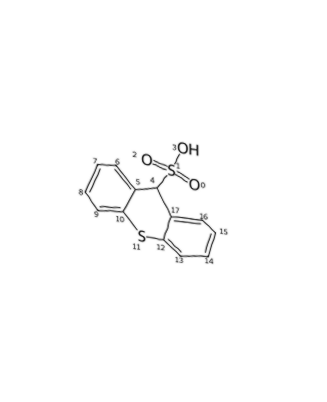 O=S(=O)(O)C1c2ccccc2Sc2ccccc21